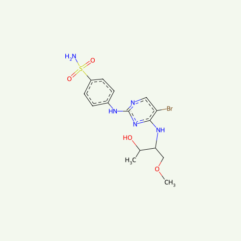 COCC(Nc1nc(Nc2ccc(S(N)(=O)=O)cc2)ncc1Br)C(C)O